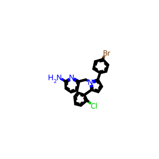 Nc1cccc(Cn2c(-c3ccc(Br)cc3)ccc2-c2ccccc2Cl)n1